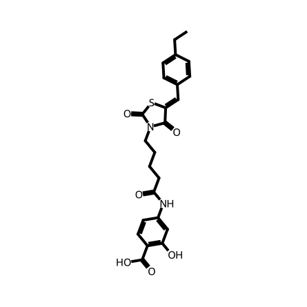 CCc1ccc(/C=C2\SC(=O)N(CCCCC(=O)Nc3ccc(C(=O)O)c(O)c3)C2=O)cc1